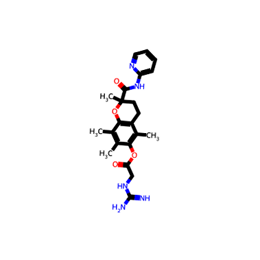 Cc1c(C)c2c(c(C)c1OC(=O)CNC(=N)N)CCC(C)(C(=O)Nc1ccccn1)O2